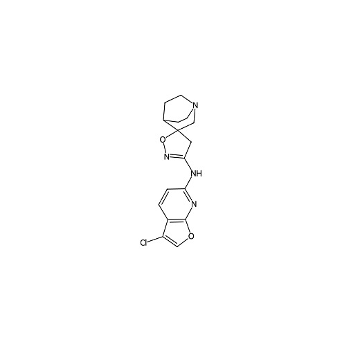 Clc1coc2nc(NC3=NOC4(C3)CN3CCC4CC3)ccc12